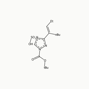 CCC=C(CCCC)c1ccn(C(=O)OC(C)(C)C)n1.O=S(=O)(O)O